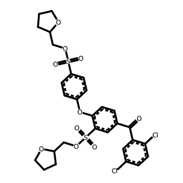 O=C(c1ccc(Oc2ccc(S(=O)(=O)OCC3CCCO3)cc2)c(S(=O)(=O)OCC2CCCO2)c1)c1cc(Cl)ccc1Cl